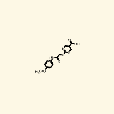 COc1ccc(NC(=O)COc2ncc(C(=O)O)cn2)cc1